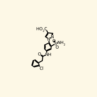 NS(=O)(=O)c1cc(NC(=O)Cc2ccccc2Cl)ccc1-n1cc(C(=O)O)cn1